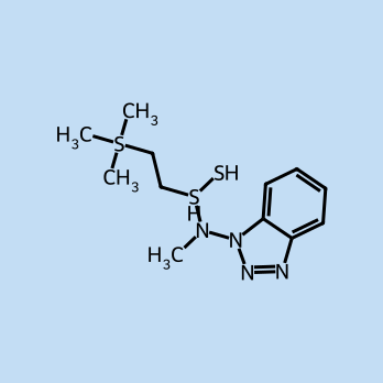 CN(n1nnc2ccccc21)[SH](S)CCS(C)(C)C